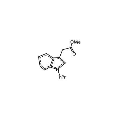 CCCn1cc(CC(=O)OC)c2ccccc21